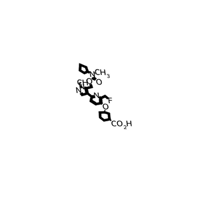 CN(C(=O)OCc1c(-c2ccc(O[C@H]3CCC[C@H](C(=O)O)C3)c(CF)n2)cnn1C)C1CCCC1